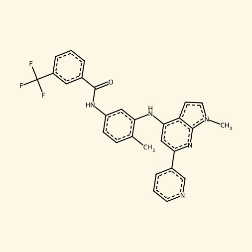 Cc1ccc(NC(=O)c2cccc(C(F)(F)F)c2)cc1Nc1cc(-c2cccnc2)nc2c1ccn2C